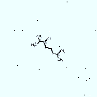 CC(C)CCCN(S)C(C)C